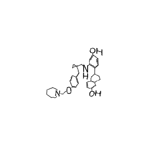 Oc1ccc2c(c1)CCC(c1ccc(O)cc1NCC1(Cc3ccc(OCCN4CCCCCC4)cc3)CC1)C2